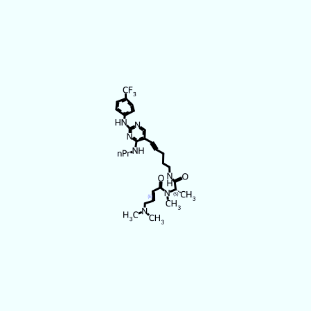 CCCNc1nc(Nc2ccc(C(F)(F)F)cc2)ncc1C#CCCCNC(=O)[C@H](C)N(C)C(=O)/C=C/CN(C)C